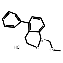 CNC[C@@H]1OCCc2c(-c3ccccc3)cccc21.Cl